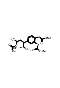 CCC(C)C(=O)OC(C)CC(c1ccc(OC(=O)OC)c(OC(=O)OC)c1)[C@H](N)C(=O)O